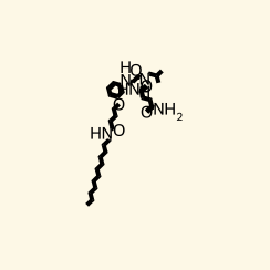 CCCCCCCCCCCCNC(=O)CCCOc1cccc(NC(NC(=O)CCC(N)=O)C(=O)NCC(C)C)c1